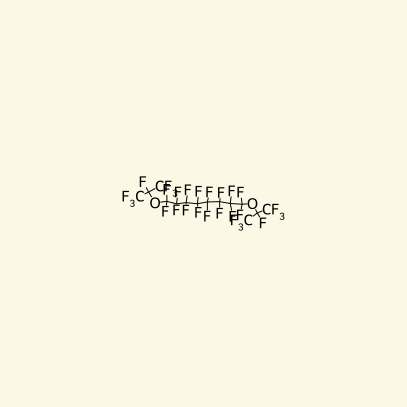 FC(F)(F)C(F)(OC(F)(F)C(F)(F)C(F)(F)C(F)(F)C(F)(F)C(F)(F)C(F)(F)C(F)(F)OC(F)(C(F)(F)F)C(F)(F)F)C(F)(F)F